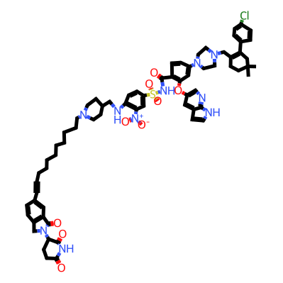 CC1(C)CCC(CN2CCN(c3ccc(C(=O)NS(=O)(=O)c4ccc(NCC5CCN(CCCCCCCCCC#Cc6ccc7c(c6)C(=O)N(C6CCC(=O)NC6=O)C7)CC5)c([N+](=O)[O-])c4)c(Oc4cnc5[nH]ccc5c4)c3)CC2)=C(c2ccc(Cl)cc2)C1